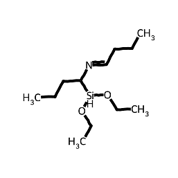 CCCC=NC(CCC)[SiH](OCC)OCC